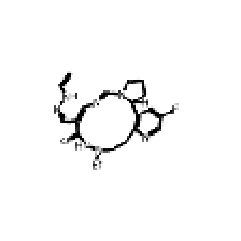 C=CN\N=C/C1=C/N=C/N2CCC[C@@H]2c2cc(F)cnc2CCN(CC)NC1=O